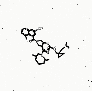 CC1CCCC(C)N(c2nc(OCC3(CN(C)C)CC3)nc3c2CN(C(=O)c2cc(O)cc4cccc(I)c24)C3)C1